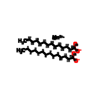 CCCCCCCCCCCCCC(=O)[O-].CCCCCCCCCCCCCC(=O)[O-].[Mn+2]